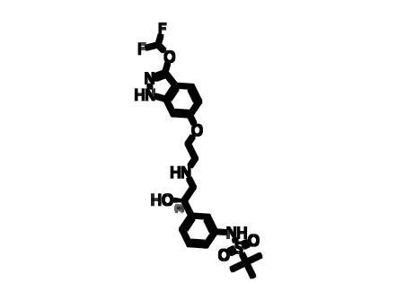 CC(C)(C)S(=O)(=O)Nc1cccc([C@@H](O)CNCCOc2ccc3c(OC(F)F)n[nH]c3c2)c1